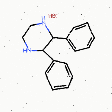 Br.c1ccc(C2NCCNC2c2ccccc2)cc1